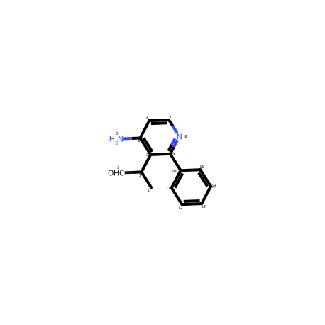 CC(C=O)c1c(N)ccnc1-c1ccccc1